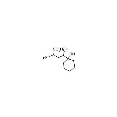 CCCC(CC(C)C1(O)CCCCC1)C(=O)O